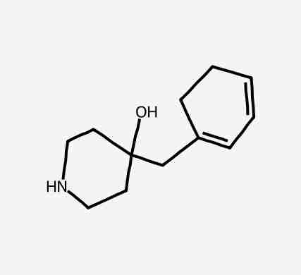 OC1(CC2=CC=CCC2)CCNCC1